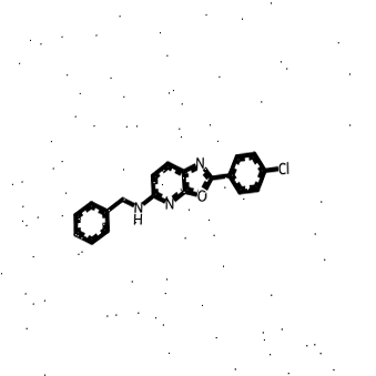 Clc1ccc(-c2nc3ccc(NCc4ccccc4)nc3o2)cc1